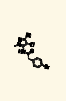 CCc1nn(C)c(NC(=O)Cc2ccc(Br)cc2)c1Cl